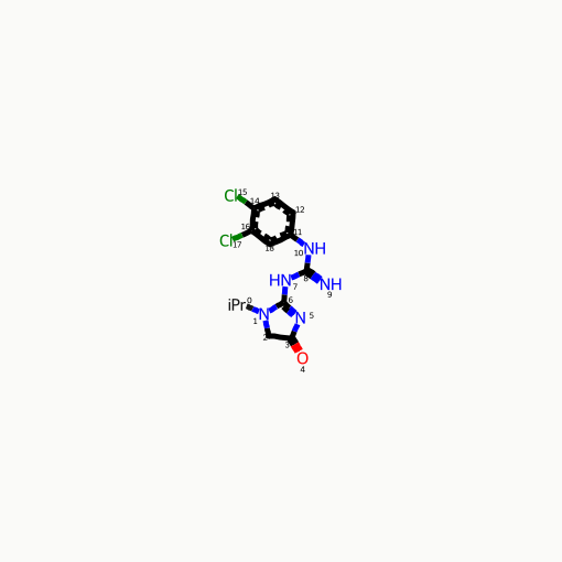 CC(C)N1CC(=O)N=C1NC(=N)Nc1ccc(Cl)c(Cl)c1